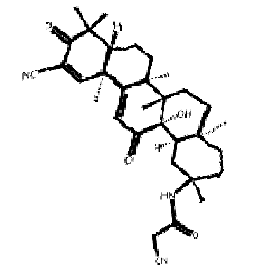 CC1(C)C(=O)C(C#N)=C[C@]2(C)C3=CC(=O)[C@]4(O)[C@@H]5C[C@@](C)(NC(=O)CC#N)CC[C@]5(C)CC[C@@]4(C)[C@]3(C)CC[C@@H]12